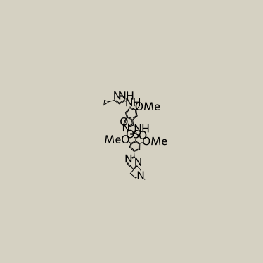 COc1cc2c(NS(=O)(=O)c3c(OC)cc(-c4ncc5c(n4)CN(C)CC5)cc3OC)noc2cc1Nc1cc(C2CC2)n[nH]1